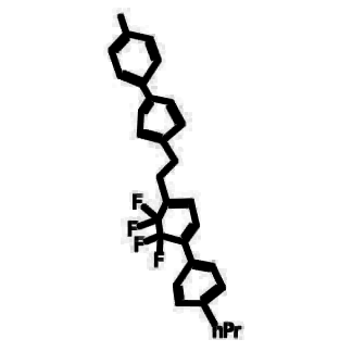 CCCc1ccc(C2=CC=C(CCc3ccc(-c4ccc(C)cc4)cc3)C(F)(F)C2(F)F)cc1